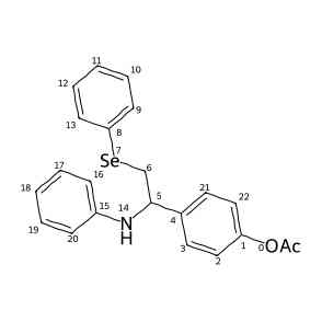 CC(=O)Oc1ccc(C(C[Se]c2ccccc2)Nc2ccccc2)cc1